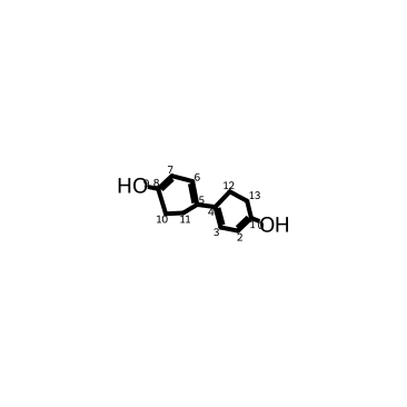 OC1=CC=C(C2=CC=C(O)CC2)CC1